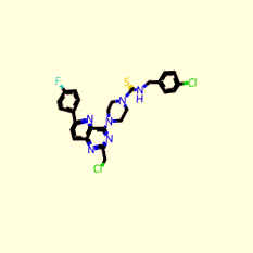 Fc1ccc(-c2ccc3nc(CCl)nc(N4CCN(C(=S)NCc5ccc(Cl)cc5)CC4)c3n2)cc1